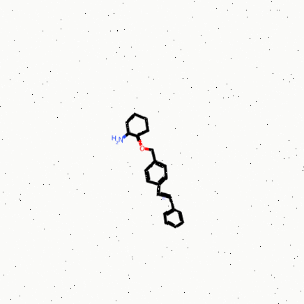 NC1CCCCC1OCc1ccc(/C=C/c2ccccc2)cc1